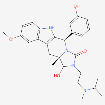 COc1ccc2[nH]c3c(c2c1)C[C@@]1(C)C(O)N(CCN(C)C(C)C)C(=O)N1[C@@H]3c1cccc(O)c1